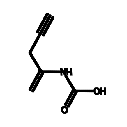 C#CCC(=C)NC(=O)O